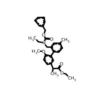 CCOC(=O)C(C)c1ccc(OC)c(-c2ccc(C)cc2CN(CC)C(=O)OCc2ccccc2)c1